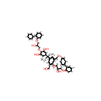 CC(C)(c1cc(O)c(OCC(O)COc2ccccc2-c2ccccc2)c(O)c1)c1cc(CO)c(OCC(O)COc2ccccc2-c2ccccc2)c(CO)c1